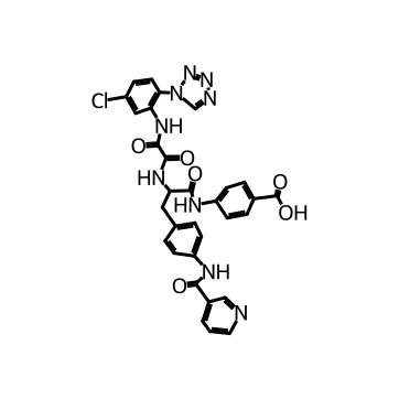 O=C(Nc1cc(Cl)ccc1-n1cnnn1)C(=O)NC(Cc1ccc(NC(=O)c2cccnc2)cc1)C(=O)Nc1ccc(C(=O)O)cc1